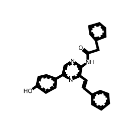 O=C(Cc1ccccc1)Nc1ncc(-c2ccc(O)cc2)nc1/C=C/c1ccccc1